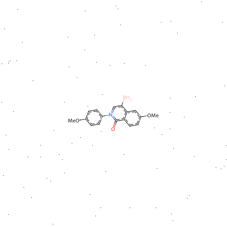 Bc1cn(-c2ccc(OC)cc2)c(=O)c2ccc(OC)cc12